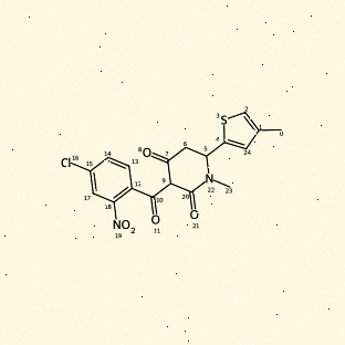 Cc1csc(C2CC(=O)C(C(=O)c3ccc(Cl)cc3[N+](=O)[O-])C(=O)N2C)c1